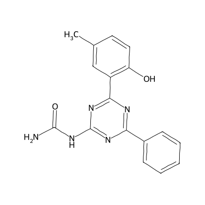 Cc1ccc(O)c(-c2nc(NC(N)=O)nc(-c3ccccc3)n2)c1